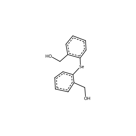 OCc1ccccc1[Se]c1ccccc1CO